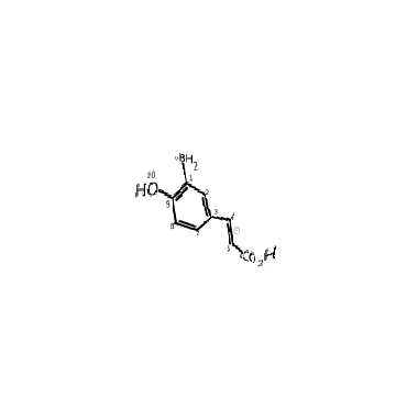 Bc1cc(/C=C/C(=O)O)ccc1O